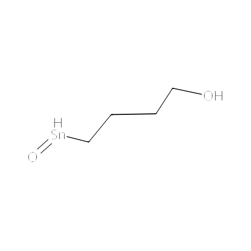 [O]=[SnH][CH2]CCCO